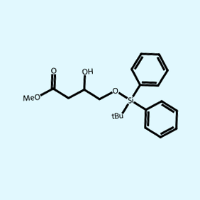 COC(=O)CC(O)CO[Si](c1ccccc1)(c1ccccc1)C(C)(C)C